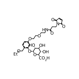 CCOCc1ccc(OCCOCCNC(=O)CCN2C(=O)C=CC2=O)cc1O[C@@H]1O[C@H](C(=O)O)[C@@H](O)[C@H](O)[C@H]1O